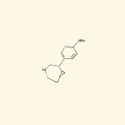 CC(C)(C)c1ccc(C2CNCCO2)cc1